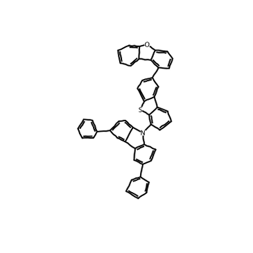 c1ccc(-c2ccc3c(c2)c2cc(-c4ccccc4)ccc2n3-c2cccc3c2sc2ccc(-c4cccc5oc6ccccc6c45)cc23)cc1